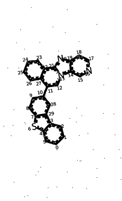 c1ccc2c(c1)sc1ccc(-c3cn4c5cnccc5nc4c4ccccc34)cc12